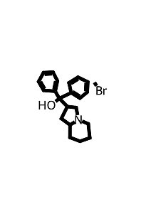 CBr.OC(c1ccccc1)(c1ccccc1)C1CC2CCCCN2C1